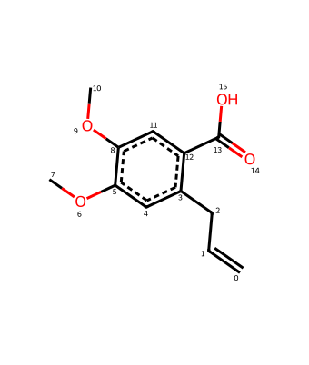 C=CCc1cc(OC)c(OC)cc1C(=O)O